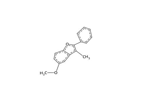 COc1ccc2oc(-c3ccccc3)c(C)c2c1